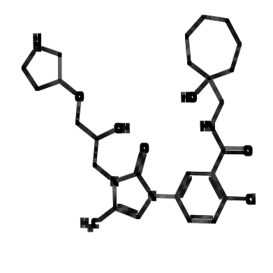 Cc1cn(-c2ccc(Cl)c(C(=O)NCC3(O)CCCCCC3)c2)c(=O)n1CC(O)COC1CCNC1